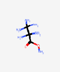 NOC(=O)C(N)(N)C(N)(N)N